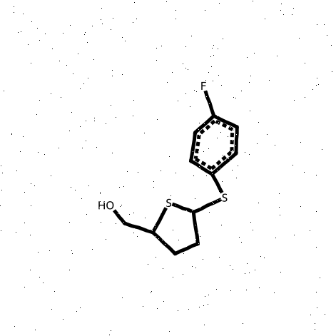 OCC1CCC(Sc2ccc(F)cc2)S1